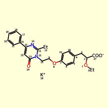 CCOC(Cc1ccc(OCCn2c(CC)nc(-c3ccccc3)cc2=O)cc1)C(=O)[O-].[K+]